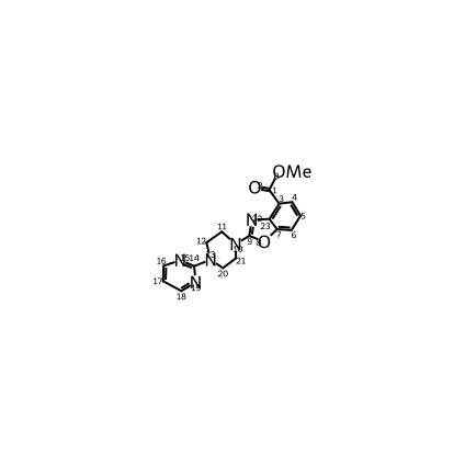 COC(=O)c1cccc2oc(N3CCN(c4ncccn4)CC3)nc12